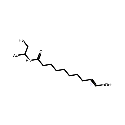 CCCCCCCC/C=C/CCCCCCCC(=O)NC(CS)C(C)=O